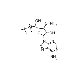 CC(C)(C)[Si](C)(C)C(O)[C@H]1O[C@@H](n2cnc3c(N)ncnc32)[C@H](O)[C@@H]1ON